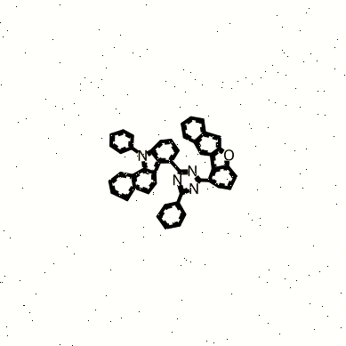 c1ccc(-c2nc(-c3cccc4oc5cc6ccccc6cc5c34)nc(-c3cccc4c3c3ccc5ccccc5c3n4-c3ccccc3)n2)cc1